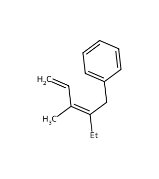 C=CC(C)=C(CC)Cc1ccccc1